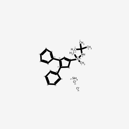 CC(C)(C)[NH][Ti+2]([CH3])([CH3])[C]1=CC(c2ccccc2)=C(c2ccccc2)C1.[Cl-].[Cl-].[SiH4]